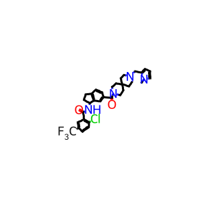 Cn1cccc1CN1CCC2(CC1)CCN(C(=O)c1ccc3c(c1)C(NC(=O)c1cc(C(F)(F)F)ccc1Cl)CC3)CC2